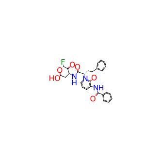 O=C(O)CC(NC(=O)[C@H](CCc1ccccc1)n1cccc(NC(=O)c2ccccc2)c1=O)C(=O)CF